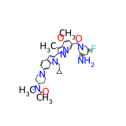 COc1cc(C(=O)N2C[C@H](N)C[C@@H](F)C2)cn2nc(-c3cc4ccc(N5CCC(N(C)C(C)=O)CC5)cc4n3CC3CC3)c(C)c12